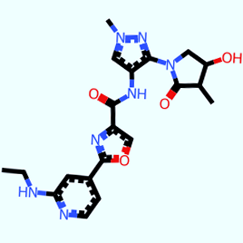 CCNc1cc(-c2nc(C(=O)Nc3cn(C)nc3N3CC(O)C(C)C3=O)co2)ccn1